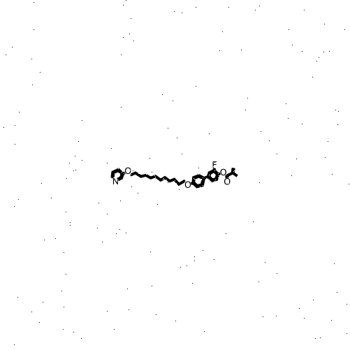 C=C(C)C(=O)Oc1ccc(-c2ccc(OCCCCCCCCCCCCOc3cccnc3)cc2)cc1F